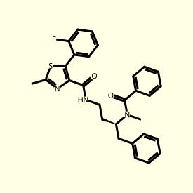 Cc1nc(C(=O)NCC[C@H](Cc2ccccc2)N(C)C(=O)c2ccccc2)c(-c2ccccc2F)s1